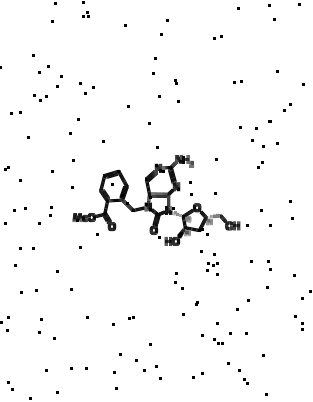 COC(=O)c1ccccc1Cn1c(=O)n([C@@H]2O[C@H](CO)C[C@H]2O)c2nc(N)ncc21